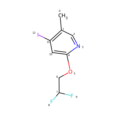 Cc1cnc(OCC(F)F)cc1I